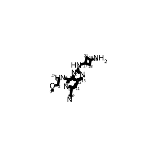 COC[C@H](C)Nc1nc(C#N)cc2cnc(NC3CC(N)C3)nc12